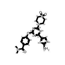 CN(C)C(=O)c1ccc(Oc2nc(-c3cnc(N)s3)nc(N3CCS(=O)(=O)CC3)n2)cc1